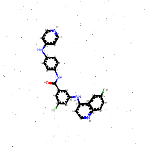 O=C(Nc1ccc(Nc2ccncc2)cc1)c1cc(F)cc(Nc2ccnc3ccc(F)cc23)c1